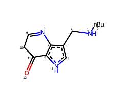 CCCCNCc1c[nH]c2c1N=CCC2=O